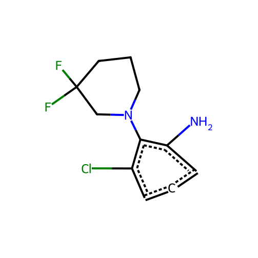 Nc1cccc(Cl)c1N1CCCC(F)(F)C1